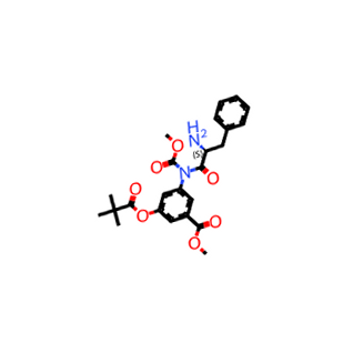 COC(=O)c1cc(OC(=O)C(C)(C)C)cc(N(C(=O)OC)C(=O)[C@@H](N)Cc2ccccc2)c1